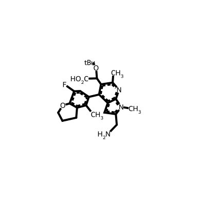 Cc1nc2c(cc(CN)n2C)c(-c2cc(F)c3c(c2C)CCCO3)c1C(OC(C)(C)C)C(=O)O